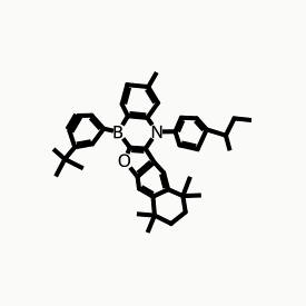 CCC(C)c1ccc(N2c3cc(C)ccc3B(c3cc#cc(C(C)(C)C)c3)c3oc4cc5c(cc4c32)C(C)(C)CCC5(C)C)cc1